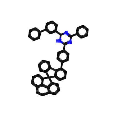 c1ccc(C2=NC(c3cccc(-c4ccccc4)c3)NC(c3ccc(-c4cccc5c4-c4ccccc4C54c5cccc6ccc7cccc4c7c56)cc3)=N2)cc1